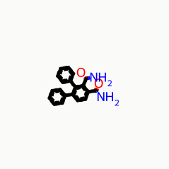 NC(=O)c1ccc(-c2ccccc2)c(-c2ccccc2)c1C(N)=O